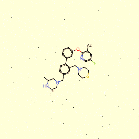 CC(=O)c1cc(F)cnc1Oc1cccc(-c2ccc(CN3CC(C)N[C@@H](C)C3)cc2CN2CCSCC2)c1